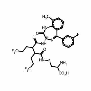 Cc1cccc2c1NC(=O)[C@@H](NC(=O)C(CCC(F)(F)F)C(CCC(F)(F)F)C(=O)NSCC(N)C(=O)O)N=C2c1cccc(F)c1